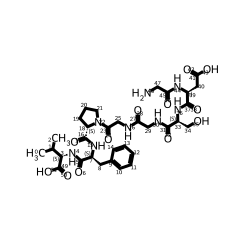 CC(C)[C@H](NC(=O)[C@H](Cc1ccccc1)NC(=O)[C@@H]1CCCN1C(=O)CNC(=O)CNC(=O)[C@H](CO)NC(=O)[C@H](CC(=O)O)NC(=O)CN)C(=O)O